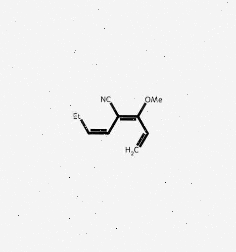 C=C/C(OC)=C(C#N)\C=C/CC